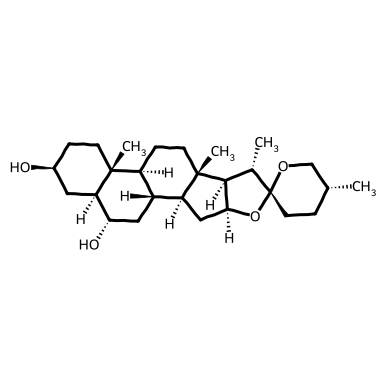 C[C@@H]1CC[C@@]2(OC1)O[C@H]1C[C@H]3[C@@H]4C[C@H](O)[C@H]5C[C@@H](O)CC[C@]5(C)[C@H]4CC[C@]3(C)[C@H]1[C@@H]2C